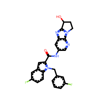 O=C(Nc1cnc2c(c1)nc1n2CCC1O)c1cc2cc(F)ccc2n1Cc1cccc(F)c1